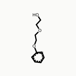 OCCOCCOc1[c]cccc1